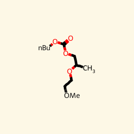 CCCCOC(=O)OCC(C)OCCOC